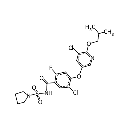 CC(C)COc1ncc(Oc2cc(F)c(C(=O)NS(=O)(=O)N3CCCC3)cc2Cl)cc1Cl